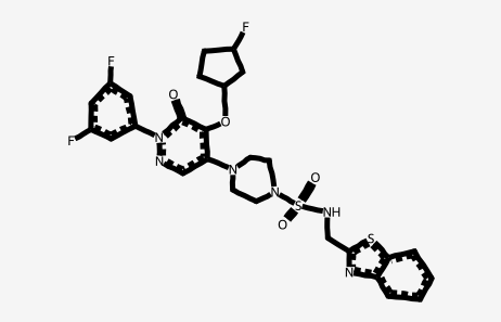 O=c1c(OC2CCC(F)C2)c(N2CCN(S(=O)(=O)NCc3nc4ccccc4s3)CC2)cnn1-c1cc(F)cc(F)c1